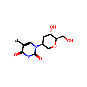 CCc1cn([C@@H]2CO[C@H](CO)[C@@H](O)C2)c(=O)[nH]c1=O